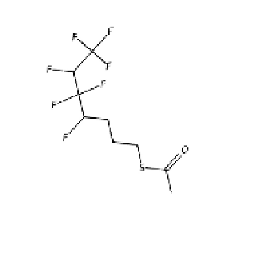 CC(=O)SCCCC(F)C(F)(F)C(F)C(F)(F)F